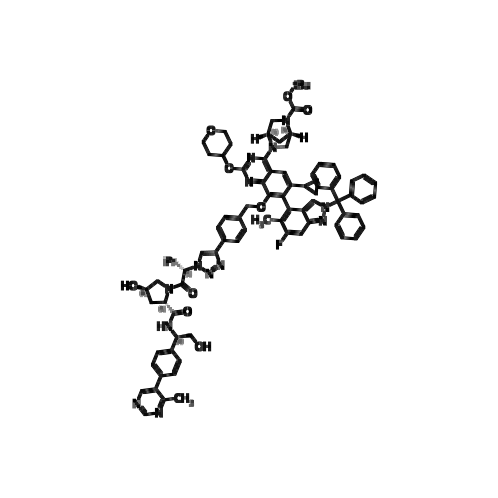 Cc1ncncc1-c1ccc([C@H](CO)NC(=O)[C@@H]2C[C@@H](O)CN2C(=O)[C@H](C(C)C)n2cc(-c3ccc(COc4c(-c5c(C)c(F)cc6nn(C(c7ccccc7)(c7ccccc7)c7ccccc7)cc56)c(C5CC5)cc5c(N6C[C@@H]7C[C@H]6CN7C(=O)OC(C)(C)C)nc(OC6CCOCC6)nc45)cc3)nn2)cc1